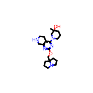 CC1(O)CCCN(c2nc(OCC34CCCN3CCC4)nc3c2CCNC3)C1